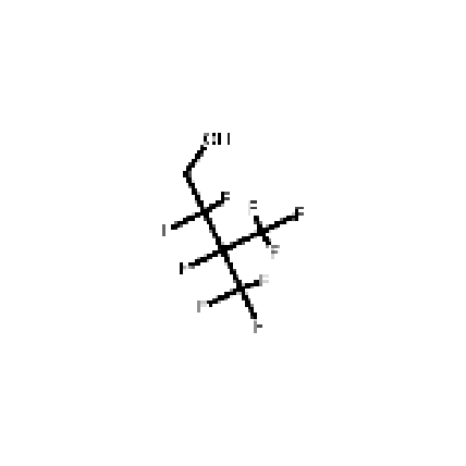 OCC(F)(F)C(F)(C(F)(F)F)C(F)(F)F